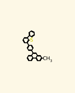 Cc1ccc2c(c1)cc(-c1ccc(-c3cccc4c3sc3ccccc34)cc1)c1ccccc12